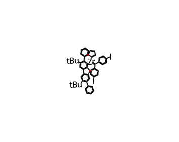 CC(C)(C)c1cc2c(cc1-c1ccccc1)Cc1c-2cc(C(C)(C)C)c(-c2ccccc2)[c]1[Zr]([C]1=CC=CC1)=[C](c1ccc(I)cc1)c1ccc(I)cc1